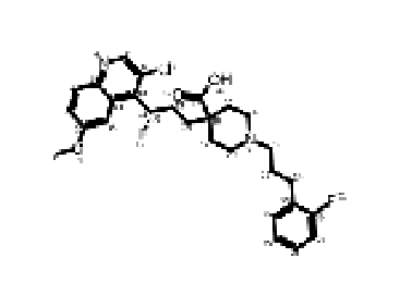 COc1ccc2ncc(Cl)c([C@@H](F)CCC3(C(=O)O)CCN(CCCc4ccccc4F)CC3)c2c1